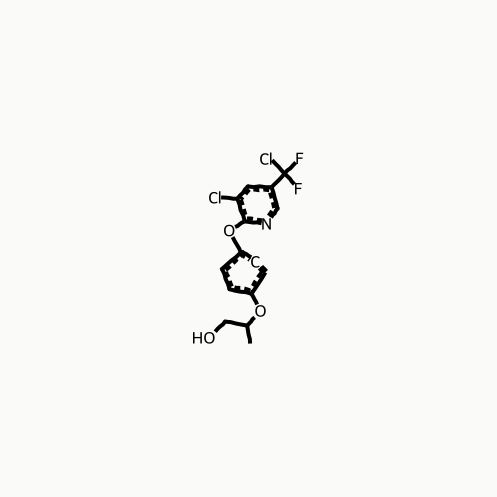 CC(CO)Oc1ccc(Oc2ncc(C(F)(F)Cl)cc2Cl)cc1